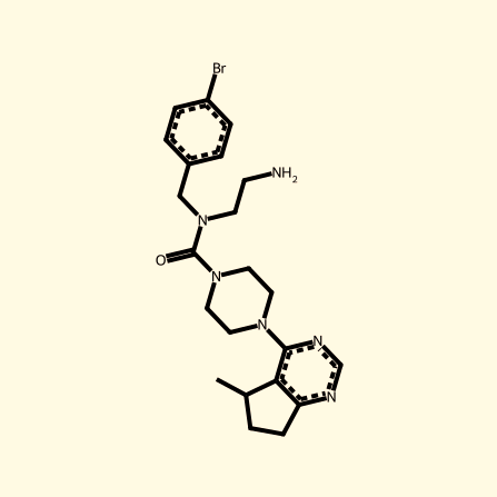 CC1CCc2ncnc(N3CCN(C(=O)N(CCN)Cc4ccc(Br)cc4)CC3)c21